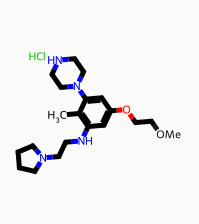 COCCOc1cc(NCCN2CCCC2)c(C)c(N2CCNCC2)c1.Cl